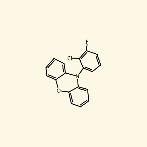 Fc1cccc(N2c3ccccc3Oc3ccccc32)c1Cl